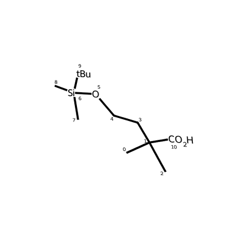 CC(C)(CCO[Si](C)(C)C(C)(C)C)C(=O)O